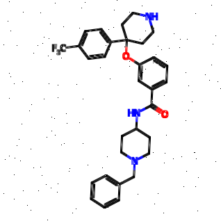 O=C(NC1CCN(Cc2ccccc2)CC1)c1cccc(OC2(c3ccc(C(F)(F)F)cc3)CCNCC2)c1